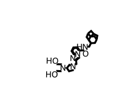 O=C(NCC12CC3CC4CC(C1)C4(C3)C2)c1cccc2nc(CN3CC[C@@H](N(CCO)CCO)C3)cn12